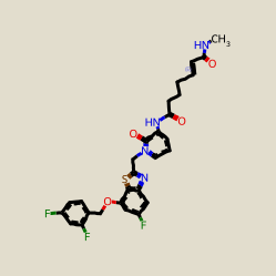 CNC(=O)/C=C/CCCC(=O)Nc1cccn(Cc2nc3cc(F)cc(OCc4ccc(F)cc4F)c3s2)c1=O